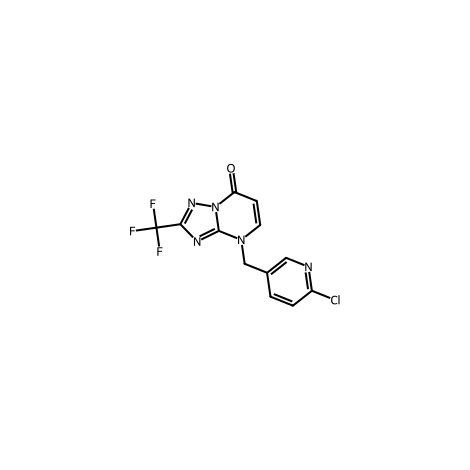 O=c1ccn(Cc2ccc(Cl)nc2)c2nc(C(F)(F)F)nn12